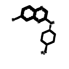 N[C@H]1CC[C@H](Nc2cnc3ccc(Br)cc3n2)CC1